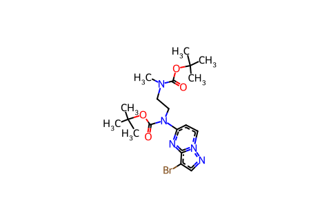 CN(CCN(C(=O)OC(C)(C)C)c1ccn2ncc(Br)c2n1)C(=O)OC(C)(C)C